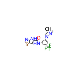 Cc1cn(-c2cc(NC(=O)c3cc4scnc4[nH]3)cc(C(F)(F)F)c2)cn1